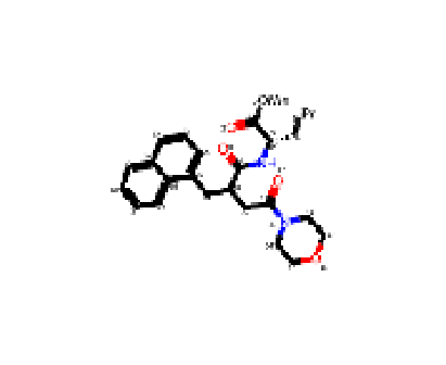 COC(=O)[C@H](CC(C)C)NC(=O)C(CC(=O)N1CCOCC1)Cc1cccc2ccccc12